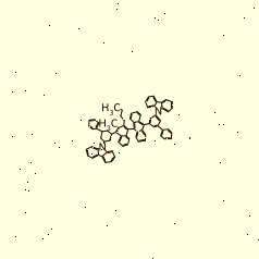 CCCCc1c(C)c(C2CC(c3ccccc3)CC(n3c4ccccc4c4ccccc43)C2)c2ccccc2c1-c1c2ccccc2c(-c2cc(-c3ccccc3)cc(-n3c4ccccc4c4ccccc43)c2)c2ccccc12